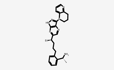 CC[C@H](CCCc1ccccc1[C@@H](C)N)c1cnc2c(N3CCCc4ncccc43)n[nH]c2n1